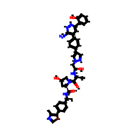 Cc1ncsc1-c1ccc([C@H](C)NC(=O)[C@@H]2C[C@@H](O)CN2C(=O)[C@@H](NC(O)Cn2cc(-c3ccc(-c4cc(-c5ccccc5O)nnc4N)cc3)cn2)C(C)(C)C)cc1